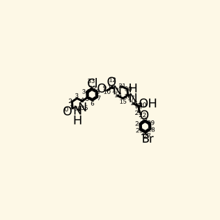 O=C1CCC(c2ccc(OCC(=O)N3CCC(NC[C@H](O)COc4ccc(Br)cc4)CC3)c(Cl)c2)=NN1